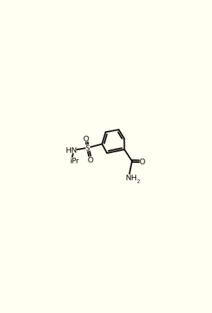 CC(C)NS(=O)(=O)c1cccc(C(N)=O)c1